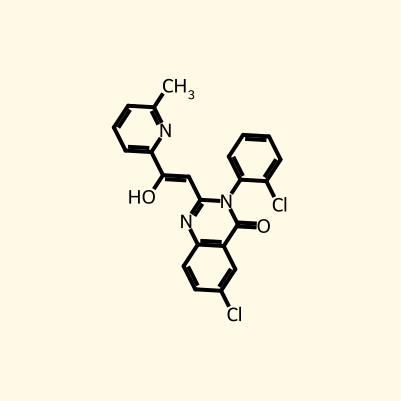 Cc1cccc(C(O)=Cc2nc3ccc(Cl)cc3c(=O)n2-c2ccccc2Cl)n1